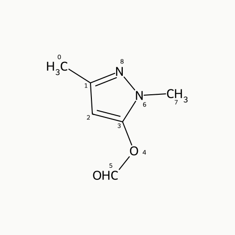 Cc1cc(OC=O)n(C)n1